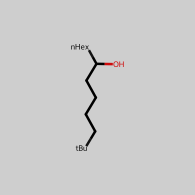 CCCCCCC(O)CCCCC(C)(C)C